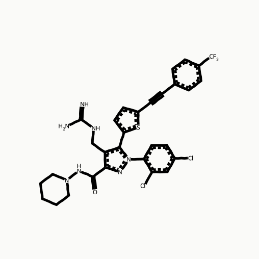 N=C(N)NCc1c(C(=O)NN2CCCCC2)nn(-c2ccc(Cl)cc2Cl)c1-c1ccc(C#Cc2ccc(C(F)(F)F)cc2)s1